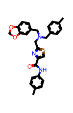 Cc1ccc(CN(Cc2ccc3c(c2)OCO3)Cc2nc(C(=O)Nc3ccc(C)cc3)cs2)cc1